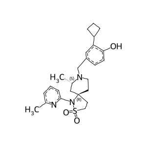 Cc1cccc(N2[C@@]3(CCN(Cc4ccc(O)c(C5CCC5)c4)[C@@H](C)C3)CCS2(=O)=O)n1